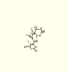 CN(C(=O)c1cc(Cl)cc(Cl)c1)C1CC12CCNCC2